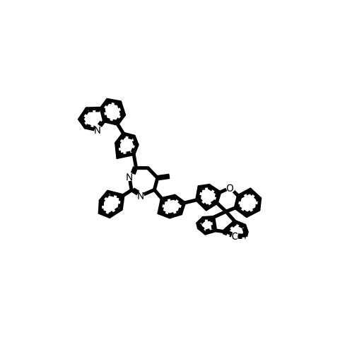 C=C1CC(c2ccc(-c3cccc4cccnc34)cc2)=NC(c2ccccc2)=NC1c1cccc(-c2ccc3c(c2)C2(c4ccccc4O3)c3ccccc3-c3ccccc32)c1